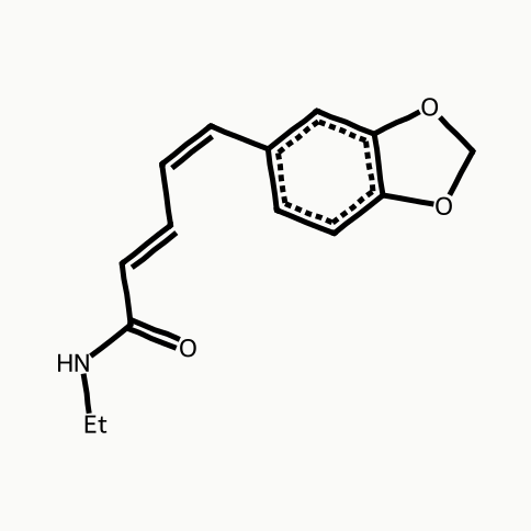 CCNC(=O)/C=C/C=C\c1ccc2c(c1)OCO2